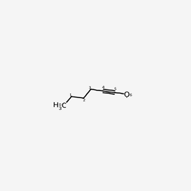 CCCCC#C[O]